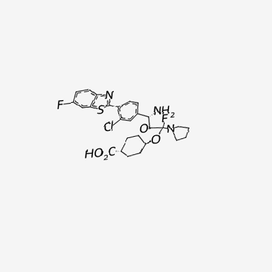 N[C@H](C(=O)C(F)(O[C@H]1CC[C@H](C(=O)O)CC1)N1CCCC1)c1ccc(-c2nc3ccc(F)cc3s2)c(Cl)c1